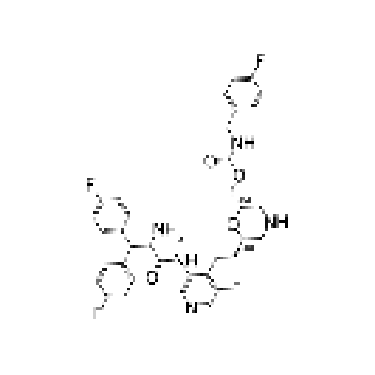 NC(C(=O)Nc1cncc(F)c1CC[C@@H]1CNC[C@@H](COC(=O)NCc2ccc(F)cc2)O1)C(c1ccc(F)cc1)c1ccc(F)cc1